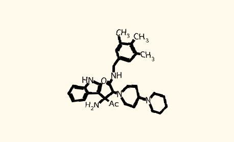 CC(=O)C(N)(c1c[nH]c2ccccc12)C(C(=O)NCc1cc(C)c(C)c(C)c1)N1CCC(N2CCCCC2)CC1